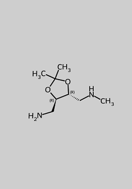 CNC[C@H]1OC(C)(C)O[C@@H]1CN